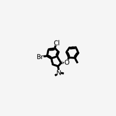 Cc1ccccc1O[C@H]1c2cc(Cl)cc(Br)c2CC1N(C)C